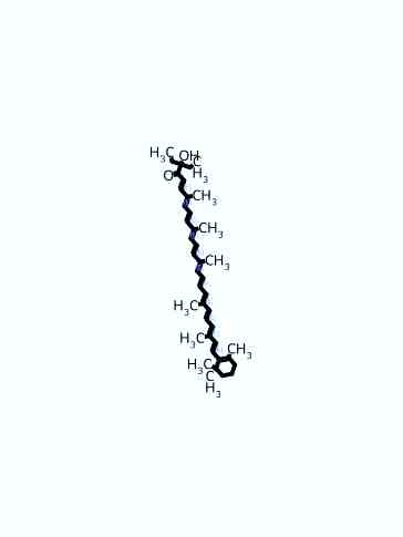 CCC(O)(CC)C(=O)/C=C/C(C)=C/C=C/C(C)=C/C=C/C(C)=C/C=C/C=C(C)/C=C/C=C(C)/C=C/C1=C(C)CCCC1(C)C